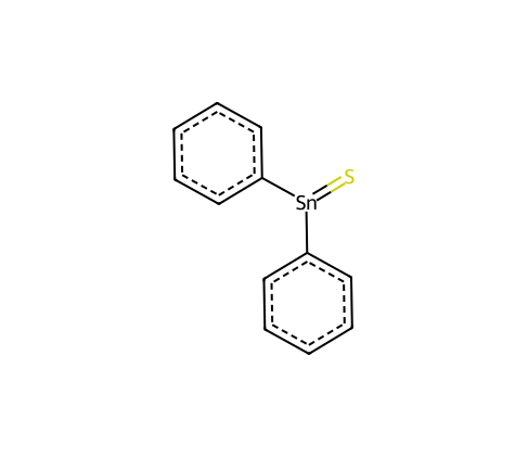 [S]=[Sn]([c]1ccccc1)[c]1ccccc1